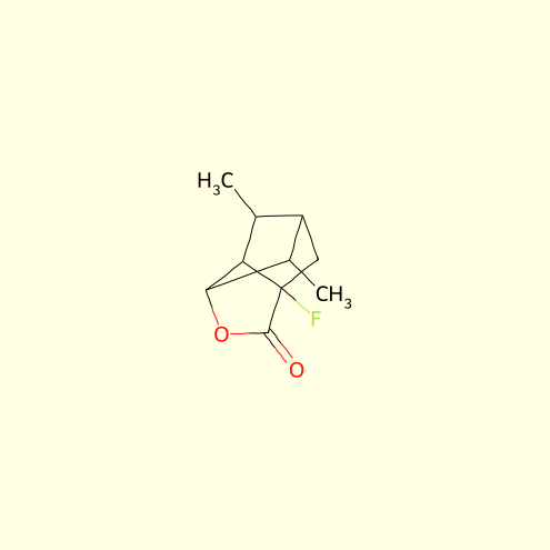 CC1C2CC3(F)C(=O)OC1C3C2C